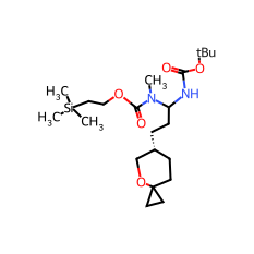 CN(C(=O)OCC[Si](C)(C)C)C(CC[C@@H]1CCC2(CC2)OC1)NC(=O)OC(C)(C)C